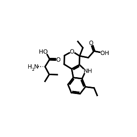 CC(C)[C@H](N)C(=O)O.CCc1cccc2c3c([nH]c12)C(CC)(CC(=O)O)OCC3